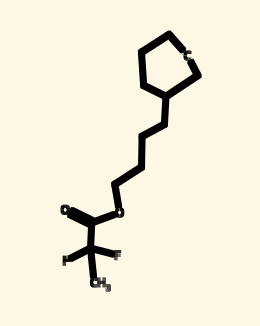 CC(F)(F)C(=O)OCCCCC1CCCCC1